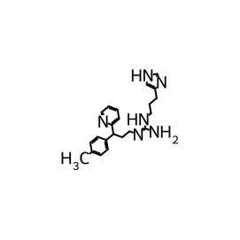 Cc1ccc(C(CCN=C(N)NCCCc2c[nH]cn2)c2ccccn2)cc1